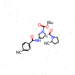 CC(C)(C)OC(=O)N1C[C@@H](NC(=O)c2ccc(C#N)cc2)C[C@H]1C(=O)N1CCCC1C#N